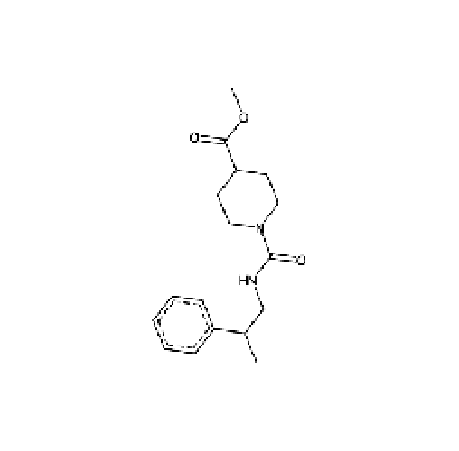 COC(=O)C1CCN(C(=O)NCC(C)c2ccccc2)CC1